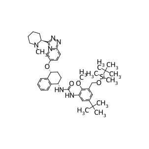 COc1c(CO[Si](C)(C)C(C)(C)C)cc(C(C)(C)C)cc1NC(=O)N[C@H]1CC[C@@H](Oc2ccc3nnc([C@@H]4CCCCN4C)n3c2)c2ccccc21